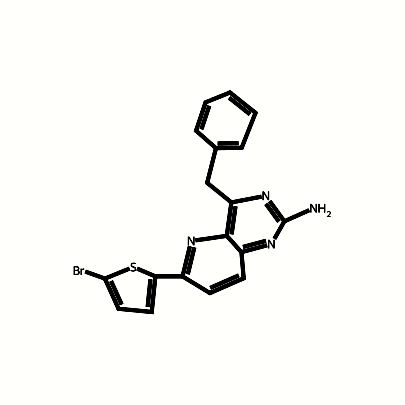 Nc1nc(Cc2ccccc2)c2nc(-c3ccc(Br)s3)ccc2n1